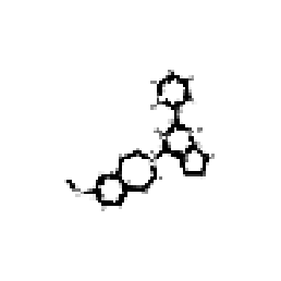 COc1ccc2c(c1)CCN(c1nc(-c3ccccn3)nc3c1CCC3)CC2